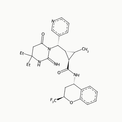 CCC1(CC)CC(=O)N([C@H](c2cccnc2)[C@@H]2C(C)[C@H]2C(=O)N[C@H]2C[C@H](C(F)(F)F)Oc3ccccc32)C(=N)N1